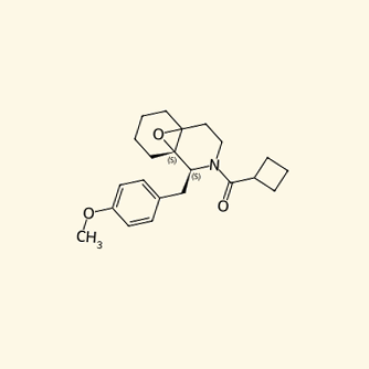 COc1ccc(C[C@@H]2N(C(=O)C3CCC3)CCC34CCCC[C@]23O4)cc1